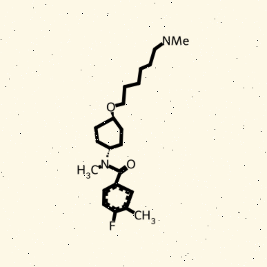 CNCCCCCCO[C@H]1CC[C@H](N(C)C(=O)c2ccc(F)c(C)c2)CC1